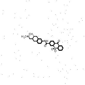 CN(C)CC1CCc2cc(NC(=O)c3ccc4c(c3)S(=O)(=O)c3ccccc3C4=O)ccc2C1